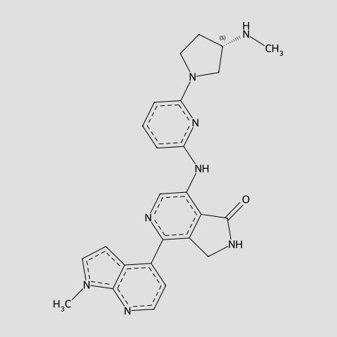 CN[C@H]1CCN(c2cccc(Nc3cnc(-c4ccnc5c4ccn5C)c4c3C(=O)NC4)n2)C1